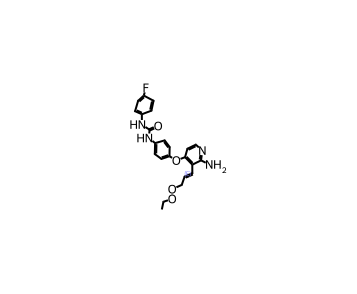 CCOOC/C=C/c1c(Oc2ccc(NC(=O)Nc3ccc(F)cc3)cc2)ccnc1N